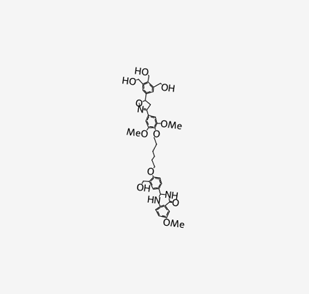 COc1ccc2c(c1)C(=O)NC(c1ccc(OCCCCCCOc3c(OC)cc(C4=NOC(c5cc(CO)c(CO)c(CO)c5)C4)cc3OC)c(CO)c1)N2